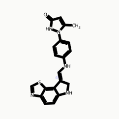 Cc1cc(=O)[nH]n1-c1ccc(N/C=C2\CNc3ccc4ncsc4c32)cc1